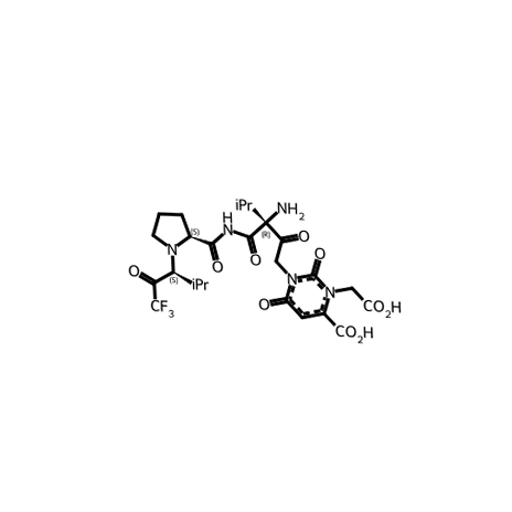 CC(C)[C@@H](C(=O)C(F)(F)F)N1CCC[C@H]1C(=O)NC(=O)[C@](N)(C(=O)Cn1c(=O)cc(C(=O)O)n(CC(=O)O)c1=O)C(C)C